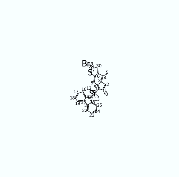 CC1=Cc2c(C)c3c(cc2=C1[Si](C)(C)C1c2ccccc2-c2ccccc21)SC(Br)C=3